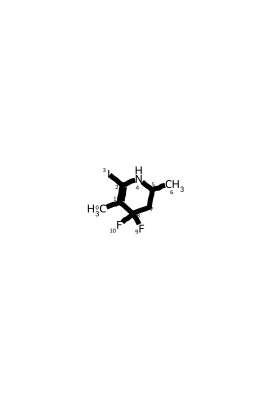 CC1=C(I)NC(C)CC1(F)F